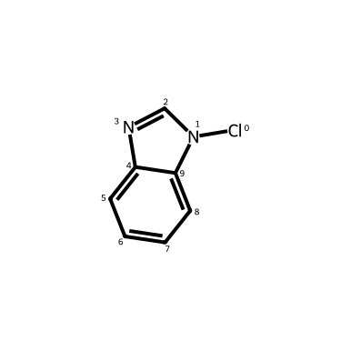 Cln1cnc2ccccc21